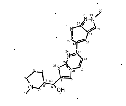 CN1CCC[C@@H]([C@H](O)c2cc3ccc(-c4cnc5nn(C)cc5c4)nc3s2)C1